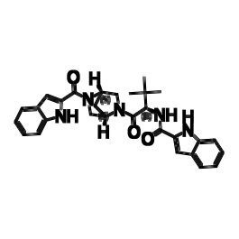 CC(C)(C)[C@@H](NC(=O)c1cc2ccccc2[nH]1)C(=O)N1C[C@@H]2C[C@H]1CN2C(=O)c1cc2ccccc2[nH]1